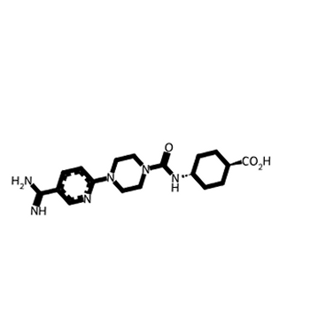 N=C(N)c1ccc(N2CCN(C(=O)N[C@H]3CC[C@H](C(=O)O)CC3)CC2)nc1